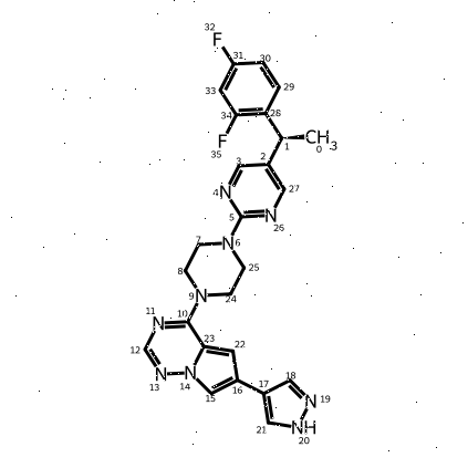 C[C@@H](c1cnc(N2CCN(c3ncnn4cc(-c5cn[nH]c5)cc34)CC2)nc1)c1ccc(F)cc1F